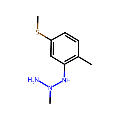 CSc1ccc(C)c(NN(C)N)c1